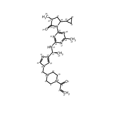 C=CC(=O)N1CCN(Cn2cnc([C@H](C)Nc3nc(C)nc(N4C(=O)N(C)CC4C4CC4)n3)c2)CC1